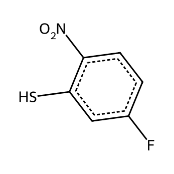 O=[N+]([O-])c1ccc(F)cc1S